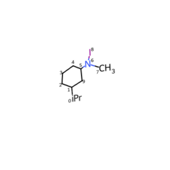 CC(C)C1CCCC(N(C)I)C1